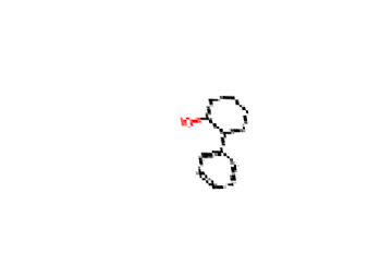 O[C@H]1CCCCC1c1ccccc1